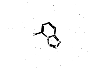 Clc1cccc2nnnn12